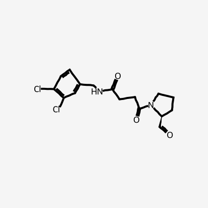 O=C[C@@H]1CCCN1C(=O)CCC(=O)NCc1ccc(Cl)c(Cl)c1